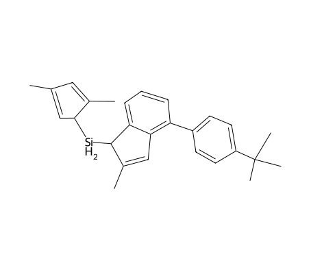 CC1=CC([SiH2]C2C(C)=Cc3c(-c4ccc(C(C)(C)C)cc4)cccc32)C(C)=C1